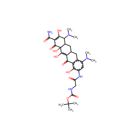 CN(C)c1cc(NC(=O)CNC(=O)OC(C)(C)C)c(O)c2c1CC1CC3C(N(C)C)C(O)=C(C(N)=O)C(=O)C3(O)C(O)=C1C2=O